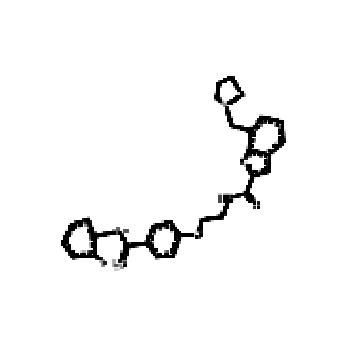 Nc1ccccc1NC(=O)c1ccc(OCCNC(=O)c2cc3cccc(CN4CCCC4)c3o2)cc1